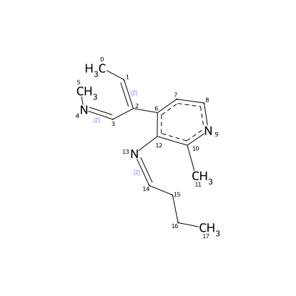 C/C=C(\C=N/C)c1ccnc(C)c1/N=C\CCC